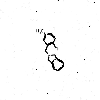 Cc1ccc(Cl)c(CN2Cc3ccccc3C2)c1